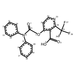 O=C(O)c1c(OC(=O)N(c2ccccc2)c2ccccc2)ccnc1C(F)(F)F